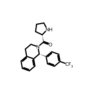 O=C([C@@H]1CCCN1)N1CCc2ccccc2[C@H]1c1ccc(C(F)(F)F)cc1